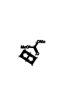 COC(=O)OC.c1cc2ccc1-2